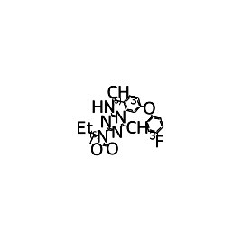 CC[C@H]1COC(=O)N1c1nc(C)nc(N[C@@H](C)c2ccc(Oc3ccc(F)cc3)cc2)n1